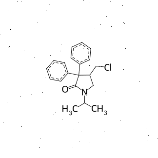 CC(C)N1CC(CCl)C(c2ccccc2)(c2ccccc2)C1=O